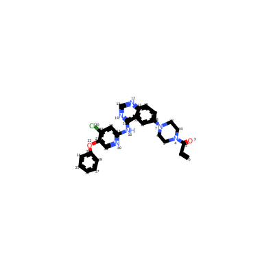 C=CC(=O)N1CCN(c2ccc3ncnc(Nc4cc(Cl)c(Oc5ccccc5)cn4)c3c2)CC1